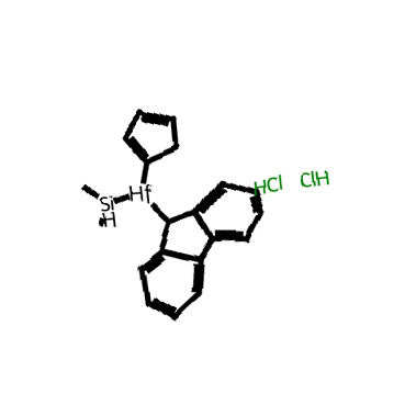 C[SiH](C)[Hf]([C]1=CC=CC1)[CH]1c2ccccc2-c2ccccc21.Cl.Cl